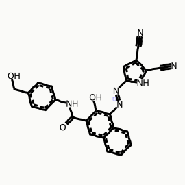 N#Cc1cc(/N=N/c2c(O)c(C(=O)Nc3ccc(CO)cc3)cc3ccccc23)[nH]c1C#N